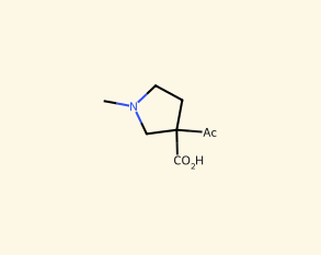 CC(=O)C1(C(=O)O)CCN(C)C1